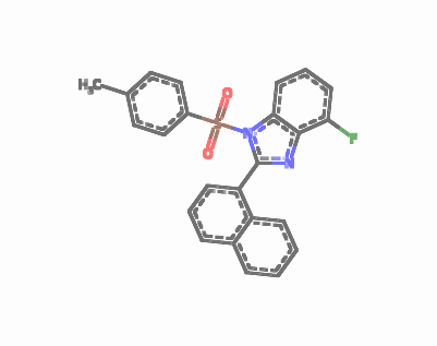 Cc1ccc(S(=O)(=O)n2c(-c3cccc4ccccc34)nc3c(F)cccc32)cc1